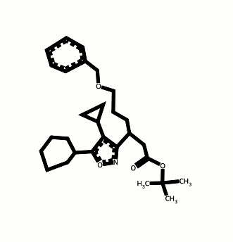 CC(C)(C)OC(=O)CC(CCCOCc1ccccc1)c1noc(C2CCCCC2)c1C1CC1